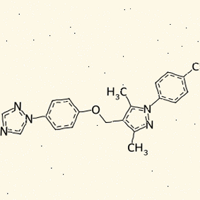 Cc1nn(-c2ccc(C#N)cc2)c(C)c1COc1ccc(-n2cncn2)cc1